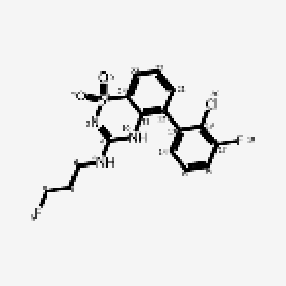 O=S1(=O)N=C(NCCCF)Nc2c(-c3cccc(F)c3Cl)cccc21